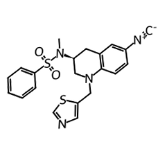 [C-]#[N+]c1ccc2c(c1)C[C@H](N(C)S(=O)(=O)c1ccccc1)CN2Cc1cncs1